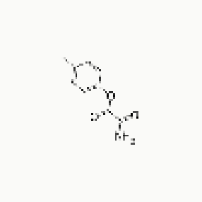 Cc1ccc(OC(=O)C(N)=O)cc1